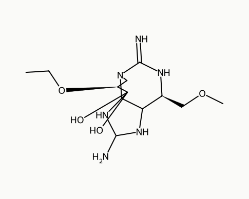 CCO[C@H]1CN2C(=N)N[C@@H](COC)C3NC(N)NC32C1(O)O